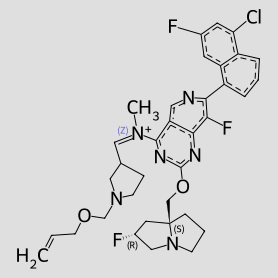 C=CCOCN1CCC(/C=[N+](/C)c2nc(OC[C@@]34CCCN3C[C@H](F)C4)nc3c(F)c(-c4cccc5c(Cl)cc(F)cc45)ncc23)C1